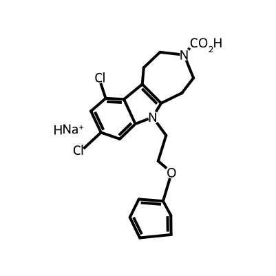 O=C(O)N1CCc2c(n(CCOc3ccccc3)c3cc(Cl)cc(Cl)c23)CC1.[H-].[Na+]